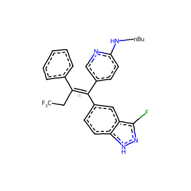 CCCCNc1ccc(/C(=C(/CC(F)(F)F)c2ccccc2)c2ccc3[nH]nc(F)c3c2)cn1